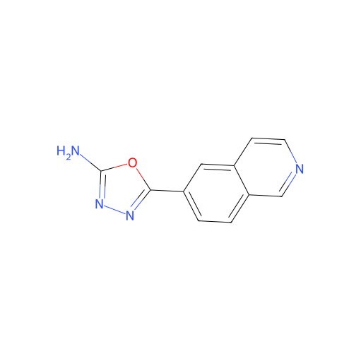 Nc1nnc(-c2ccc3cnccc3c2)o1